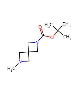 CN1CC2(C1)CN(C(=O)OC(C)(C)C)C2